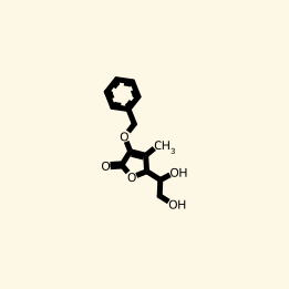 CC1=C(OCc2ccccc2)C(=O)OC1C(O)CO